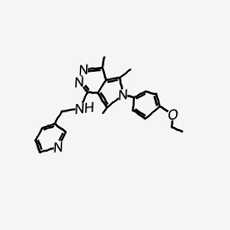 CCOc1ccc(-n2c(C)c3c(C)nnc(NCc4cccnc4)c3c2C)cc1